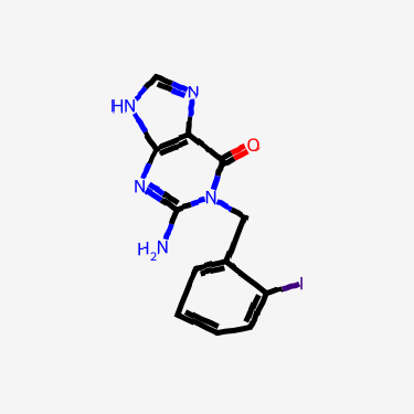 Nc1nc2[nH]cnc2c(=O)n1Cc1ccccc1I